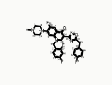 CN1CCN(c2cc3c(cc2F)c(=O)c(-c2noc(Cc4ccc(F)cc4)n2)cn3Cc2ccc(F)cc2F)CC1